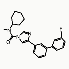 CN(C(=O)n1cnc(-c2cccc(-c3cccc(F)c3)c2)c1)C1CCCCC1